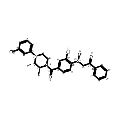 C[C@H]1[C@H](C)N(c2cccc(Cl)c2)CCN1C(=O)c1ccc([S+]([O-])CC(=O)c2ccccc2)c(Cl)c1